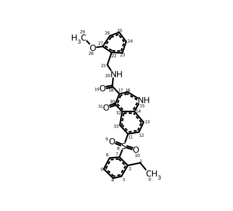 CCc1ccccc1S(=O)(=O)c1ccc2[nH]cc(C(=O)NCc3ccccc3OC)c(=O)c2c1